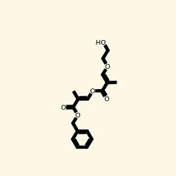 CC(=COCCO)C(=O)OC=C(C)C(=O)OCc1ccccc1